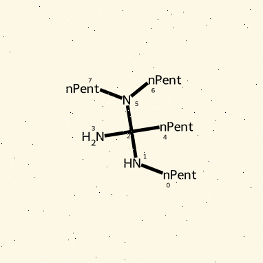 CCCCCNC(N)(CCCCC)N(CCCCC)CCCCC